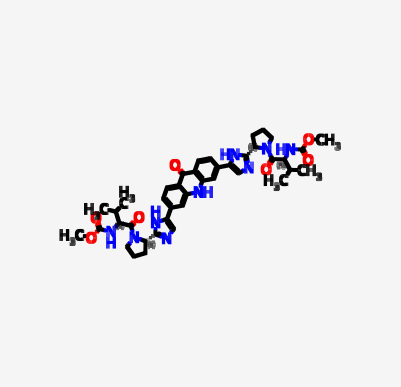 COC(=O)N[C@H](C(=O)N1CCC[C@H]1c1ncc(-c2ccc3c(=O)c4ccc(-c5cnc([C@@H]6CCCN6C(=O)[C@@H](NC(=O)OC)C(C)C)[nH]5)cc4[nH]c3c2)[nH]1)C(C)C